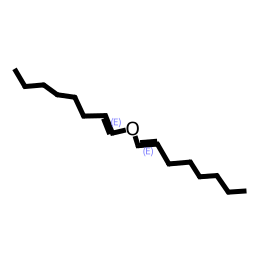 CCCCCC/C=C/O/C=C/CCCCCC